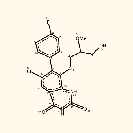 COC(CO)CSc1c(-c2ccc(F)cc2)c(Cl)cc2c(=O)[nH]c(=O)[nH]c12